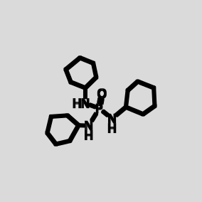 O=P(NC1CCCCC1)(NC1CCCCC1)NC1CCCCC1